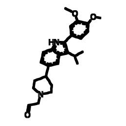 COc1ccc(-c2[nH]c3ccc(C4CCN(CC=O)CC4)cc3c2C(C)C)cc1OC